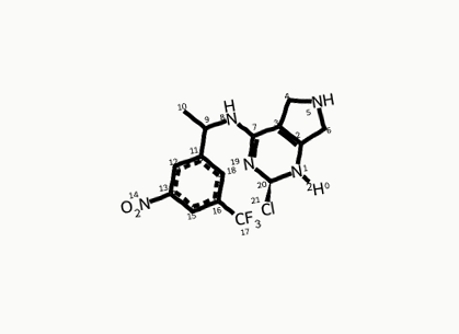 [2H]N1C2=C(CNC2)C(NC(C)c2cc([N+](=O)[O-])cc(C(F)(F)F)c2)=N[C@@H]1Cl